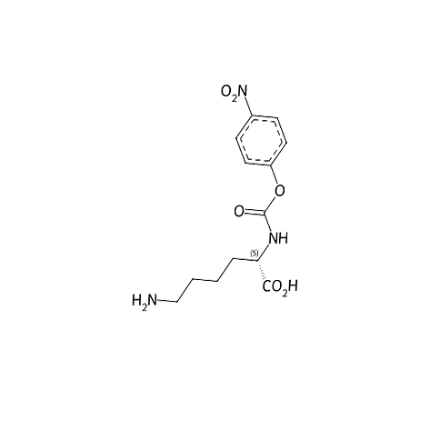 NCCCC[C@H](NC(=O)Oc1ccc([N+](=O)[O-])cc1)C(=O)O